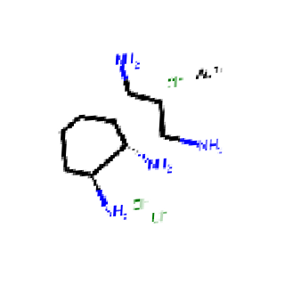 NCCCN.N[C@H]1CCCC[C@@H]1N.[Au+3].[Cl-].[Cl-].[Cl-]